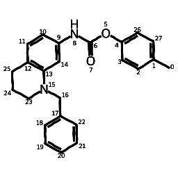 Cc1ccc(OC(=O)Nc2ccc3c(c2)N(Cc2ccccc2)CCC3)cc1